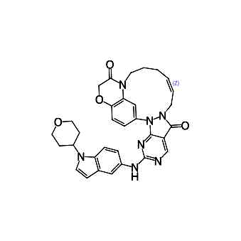 O=C1COc2ccc3cc2N1CCC/C=C\Cn1c(=O)c2cnc(Nc4ccc5c(ccn5C5CCOCC5)c4)nc2n1-3